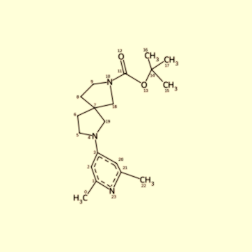 Cc1cc(N2CCC3(CCN(C(=O)OC(C)(C)C)C3)C2)cc(C)n1